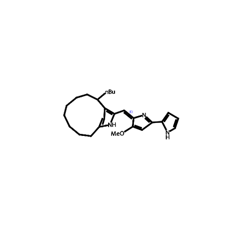 CCCCC1CCCCCCCc2cc1c(/C=C1/N=C(c3ccc[nH]3)C=C1OC)[nH]2